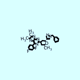 Cc1nc2nc(C3C[C@@H](C)O[C@@H](c4cnn(Cc5ccccc5)c4)C3)nc(-c3ccc(F)cc3F)c2nc1C